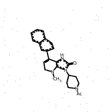 CC(=O)N1CCC(n2c3c([nH]c2=O)C(c2ccc4ccccc4c2)=CCN3C)CC1